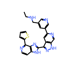 CCNCc1cncc(-c2cc3c(-c4nc5c(-c6cccs6)nccc5[nH]4)n[nH]c3cn2)c1